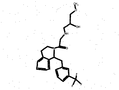 COCC(O)CNCC(=O)N1CCc2ccccc2C1Cc1cccc(C(F)(F)F)c1